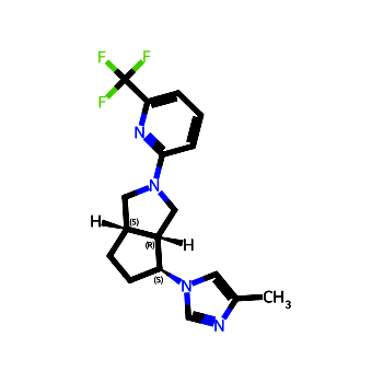 Cc1cn([C@H]2CC[C@@H]3CN(c4cccc(C(F)(F)F)n4)C[C@@H]32)cn1